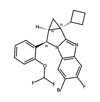 Fc1cc2nc3n(c2cc1Br)[C@@H](c1ccccc1OC(F)F)[C@H]1C[C@@]31C1CCC1